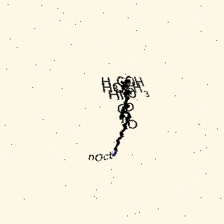 CCCCCCCC/C=C\CCCCCCCC(=O)N1CCC(OC(=O)CCNC(=O)C(O)C(C)(C)CO)CC1